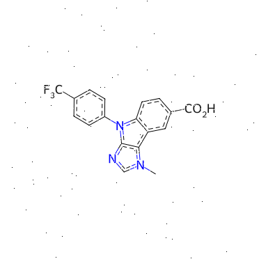 Cn1cnc2c1c1cc(C(=O)O)ccc1n2-c1ccc(C(F)(F)F)cc1